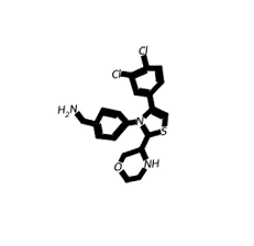 NCc1ccc(N2C(c3ccc(Cl)c(Cl)c3)=CSC2C2COCCN2)cc1